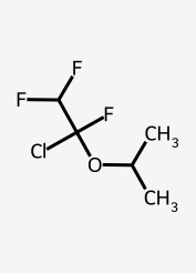 CC(C)OC(F)(Cl)C(F)F